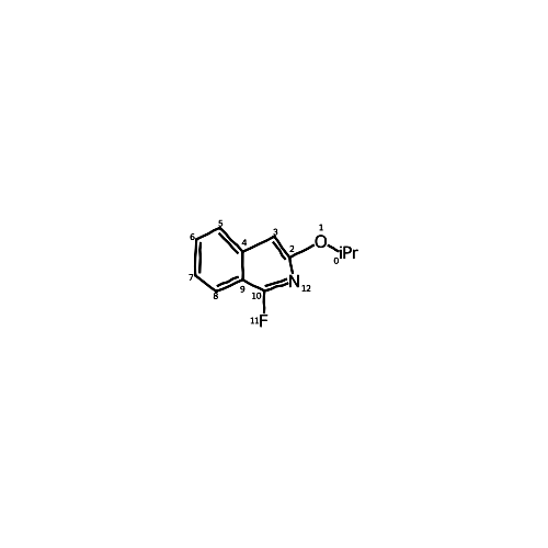 CC(C)Oc1cc2ccccc2c(F)n1